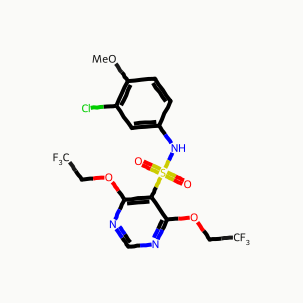 COc1ccc(NS(=O)(=O)c2c(OCC(F)(F)F)ncnc2OCC(F)(F)F)cc1Cl